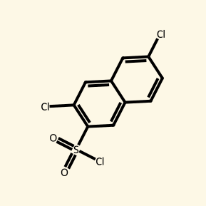 O=S(=O)(Cl)c1cc2ccc(Cl)cc2cc1Cl